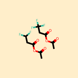 CC(=O)OC(=O)CC(F)(F)F.CC(=O)OC(=O)CC(F)F